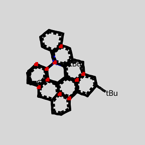 CC(C)(C)c1cc(-c2cccc3cccc(-c4ccccc4N(c4ccccc4)c4ccccc4-c4ccccc4-c4ccccc4-c4ccccc4)c23)cc(C(C)(C)C)c1